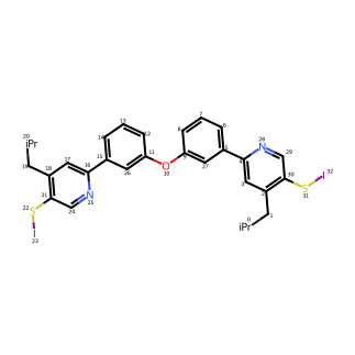 CC(C)Cc1cc(-c2cccc(Oc3cccc(-c4cc(CC(C)C)c(SI)cn4)c3)c2)ncc1SI